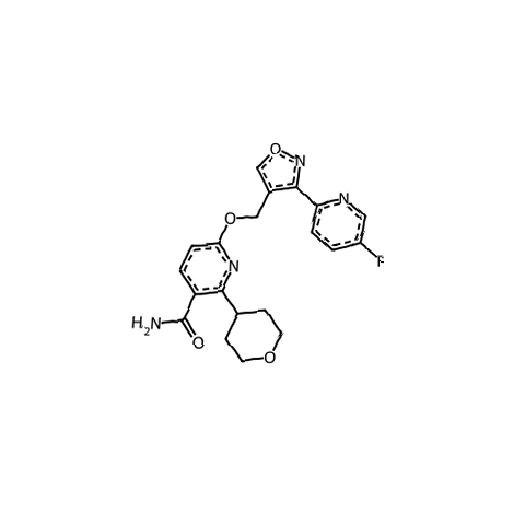 NC(=O)c1ccc(OCc2conc2-c2ccc(F)cn2)nc1C1CCOCC1